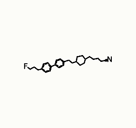 N#CCCCCC1CCC(CCc2ccc(-c3ccc(CCCF)cc3)cc2)CC1